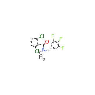 CN(Cc1cc(F)c(F)c(F)c1)C(=O)c1c(Cl)cccc1Cl